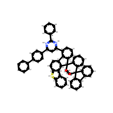 c1ccc(-c2ccc(-c3cc(-c4cccc5c4-c4ccc6sc7ccccc7c6c4C54c5ccccc5C5(c6ccccc6-c6ccccc65)c5ccccc54)nc(-c4ccccc4)n3)cc2)cc1